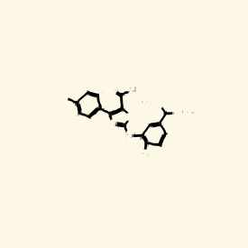 COC(OC)c1ccc([N+](=O)[O-])c(Nc2nc(-c3ccc(C(F)(F)F)cc3)c(C(N)=O)s2)c1